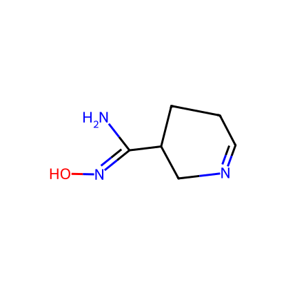 NC(=NO)C1CCC=NC1